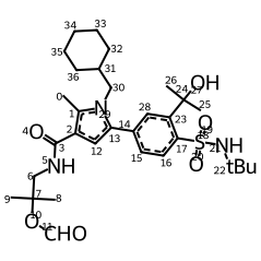 Cc1c(C(=O)NCC(C)(C)OC=O)cc(-c2ccc(S(=O)(=O)NC(C)(C)C)c(C(C)(C)O)c2)n1CC1CCCCC1